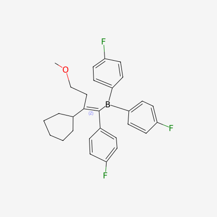 COCC/C(=C(\B(c1ccc(F)cc1)c1ccc(F)cc1)c1ccc(F)cc1)C1CCCCC1